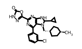 C[C@H]1CC[C@H](CN2c3c(nc(-c4n[nH]c(=O)o4)nc3-c3cccc(Cl)c3)NC2C2CC2)CC1